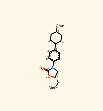 COC[C@H]1CN(c2ccc(C3CCC(OC)CC3)cc2)C(=O)O1